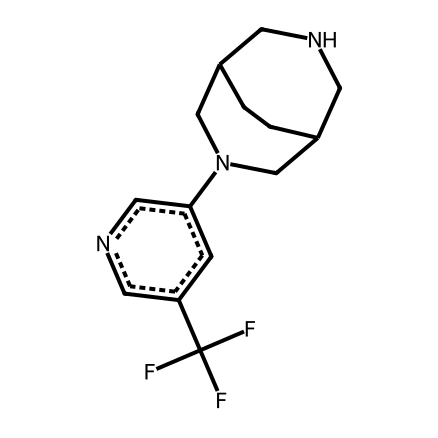 FC(F)(F)c1cncc(N2CC3CCC(CNC3)C2)c1